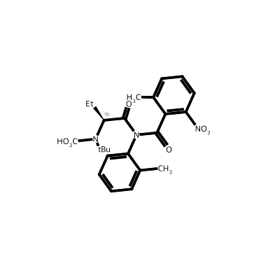 CC[C@@H](C(=O)N(C(=O)c1c(C)cccc1[N+](=O)[O-])c1ccccc1C)N(C(=O)O)C(C)(C)C